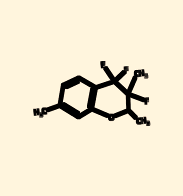 Cc1ccc2c(c1)OC(C)C(C)(F)C2(F)F